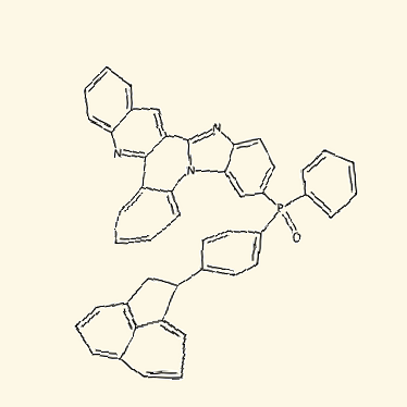 O=P(c1ccccc1)(c1ccc(C2Cc3cccc4cccc2c34)cc1)c1ccc2nc3c4cc5ccccc5nc4c4ccccc4n3c2c1